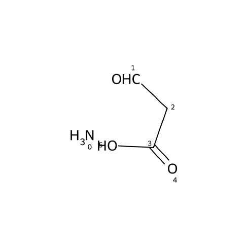 N.O=CCC(=O)O